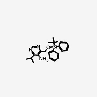 CC(C)c1ncnc(CO[Si](c2ccccc2)(c2ccccc2)C(C)(C)C)c1N